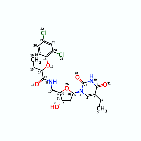 CCc1cn([C@H]2C[C@H](O)[C@@H](CNC(=O)C(CC)Oc3ccc(Cl)cc3Cl)O2)c(=O)[nH]c1=O